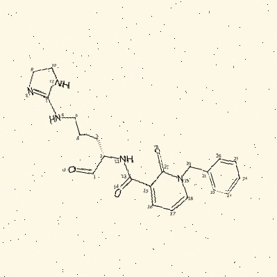 O=C[C@H](CCCNC1=NCCN1)NC(=O)c1cccn(Cc2ccccc2)c1=O